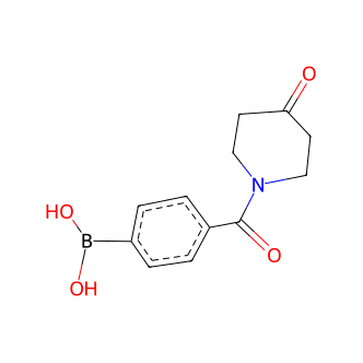 O=C1CCN(C(=O)c2ccc(B(O)O)cc2)CC1